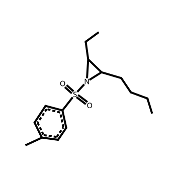 CCCCC1C(CC)N1S(=O)(=O)c1ccc(C)cc1